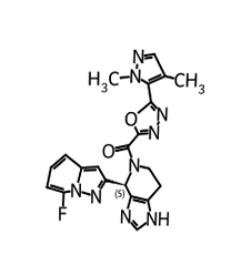 Cc1cnn(C)c1-c1nnc(C(=O)N2CCc3[nH]cnc3[C@H]2c2cc3cccc(F)n3n2)o1